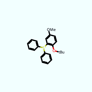 COc1ccc(OC(C)(C)C)c([S+](c2ccccc2)c2ccccc2)c1